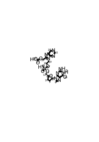 Nc1nc2c(ncn2[C@H]2CC[C@@H](COP(=O)(S)OCCn3c(COC(=O)O)nc4cncnc43)O2)c(=O)[nH]1